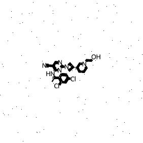 C[C@@H](Nc1nc(N2CC([C@H]3CCCN(CCO)C3)C2)ncc1C#N)c1ccc(Cl)cc1Cl